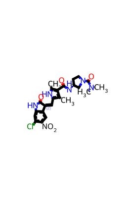 Cc1[nH]c(/C=C2\C(=O)Nc3cc(Cl)c([N+](=O)[O-])cc32)c(C)c1C(=O)N[C@H]1CCN(C(=O)N(C)C)C1